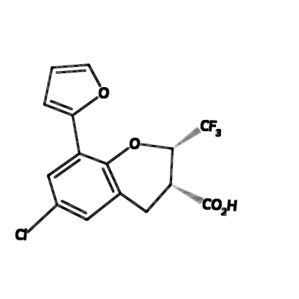 O=C(O)[C@@H]1Cc2cc(Cl)cc(-c3ccco3)c2O[C@@H]1C(F)(F)F